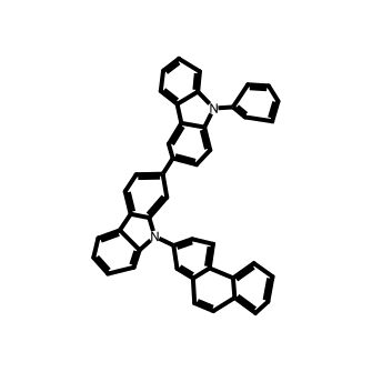 c1ccc(-n2c3ccccc3c3cc(-c4ccc5c6ccccc6n(-c6ccc7c(ccc8ccccc87)c6)c5c4)ccc32)cc1